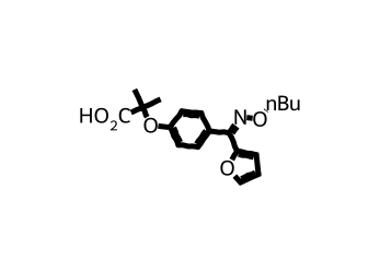 CCCCON=C(c1ccc(OC(C)(C)C(=O)O)cc1)c1ccco1